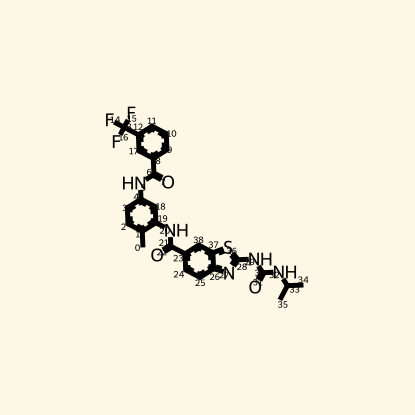 Cc1ccc(NC(=O)c2cccc(C(F)(F)F)c2)cc1NC(=O)c1ccc2nc(NC(=O)NC(C)C)sc2c1